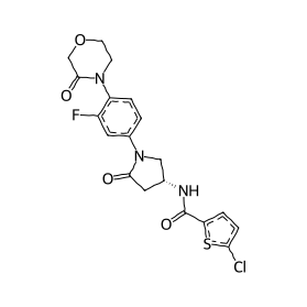 O=C(N[C@@H]1CC(=O)N(c2ccc(N3CCOCC3=O)c(F)c2)C1)c1ccc(Cl)s1